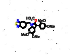 COc1ccc(-c2c(OC(=O)O)n(Cc3ccc4nsnc4c3)c3cc(OC)c(OC)cc23)c(OC)c1